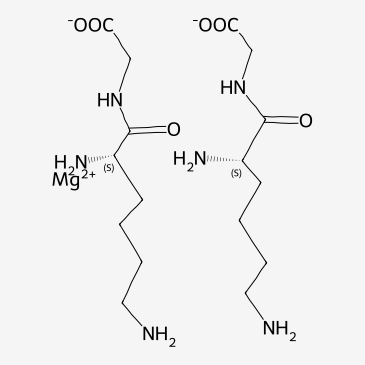 NCCCC[C@H](N)C(=O)NCC(=O)[O-].NCCCC[C@H](N)C(=O)NCC(=O)[O-].[Mg+2]